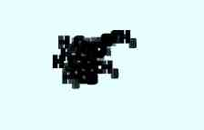 CCOc1ccc(-n2c(C)c(C(C)=O)c(C(C)=O)c2C)c(OCC)c1